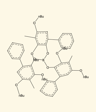 CCCCOc1cc(-c2ccccc2)c(OB(Oc2c(-c3ccccc3)cc(OCCCC)c(C)c2OCCCC)Oc2c(-c3ccccc3)cc(OCCCC)c(C)c2OCCCC)c(OCCCC)c1C